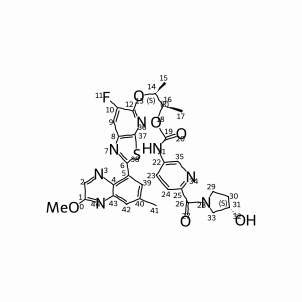 COc1cnc2c(-c3nc4cc(F)c(O[C@@H](C)[C@@H](C)OC(=O)Nc5ccc(C(=O)N6CC[C@H](O)C6)nc5)nc4s3)cc(C)cc2n1